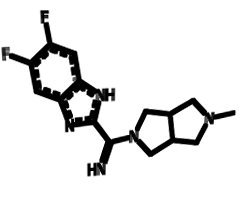 CN1CC2CN(C(=N)c3nc4cc(F)c(F)cc4[nH]3)CC2C1